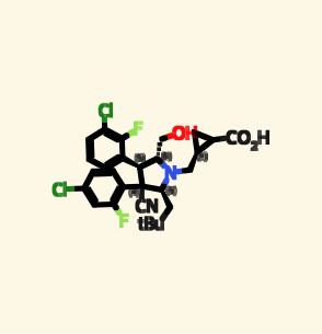 CC(C)(C)C[C@@H]1N(C[C@H]2CC2C(=O)O)[C@@H](CO)[C@H](c2cccc(Cl)c2F)[C@@]1(C#N)c1ccc(Cl)cc1F